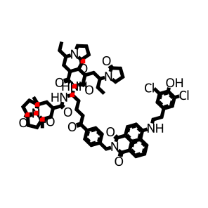 CCC(CC(C(=O)NCCCCC(=O)c1ccc(CN2C(=O)c3cccc4c(NCCc5cc(Cl)c(O)c(Cl)c5)ccc(c34)C2=O)cc1)C(C)C(CC(CC)N1CCCC1=O)C(=O)NCNC(=O)C(CC(C)N1CCCC1=O)CC(C)N1CCCC1=O)N1CCCC1=O